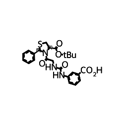 CC(C)(C)OC(=O)[C@@H]1CS[C@H](c2ccccc2)N1C(=O)CNC(=O)Nc1cccc(C(=O)O)c1